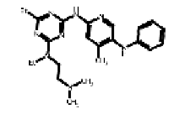 CCc1nc(Nc2cc(C)c(Nc3ccccc3)cn2)nc(N(CC)CCN(C)C)n1